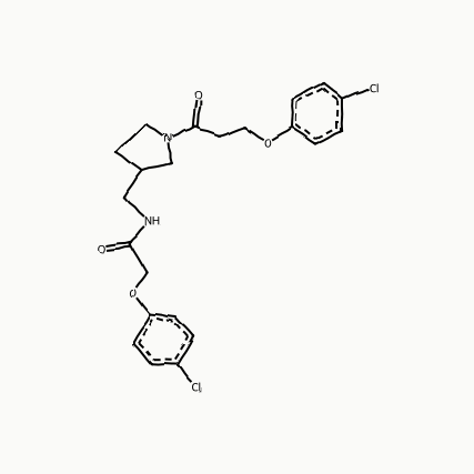 O=C(COc1ccc(Cl)cc1)NCC1CCN(C(=O)CCOc2ccc(Cl)cc2)C1